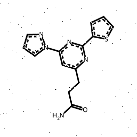 NC(=O)CCc1cc(-n2cccn2)nc(-c2cccs2)n1